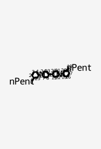 CCCCCc1cccc(-[n+]2ccc(-c3cc[n+](-c4cccc(CCCCC)c4)cc3)cc2)c1